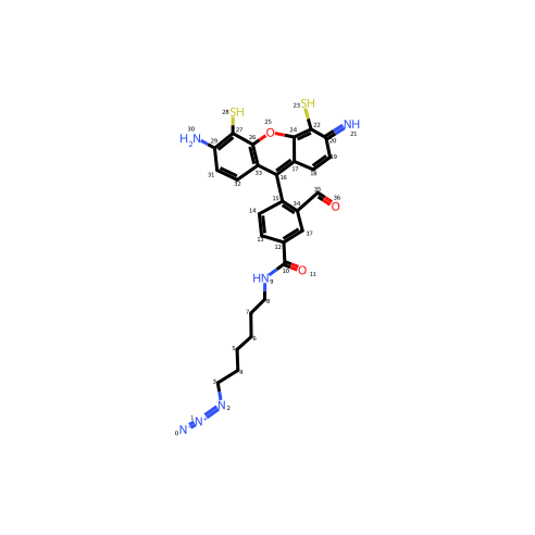 [N-]=[N+]=NCCCCCCNC(=O)c1ccc(-c2c3ccc(=N)c(S)c-3oc3c(S)c(N)ccc23)c(C=O)c1